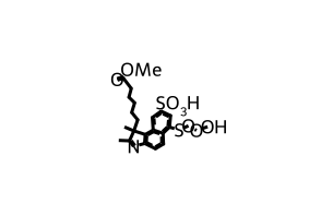 COC(=O)CCCCCC1(C)C(C)=Nc2ccc3c(SOOO)cc(S(=O)(=O)O)cc3c21